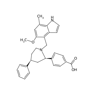 COc1cc(C)c2[nH]ccc2c1CN1CC[C@H](c2ccccc2)C[C@@H]1c1ccc(C(=O)O)cc1